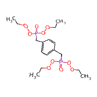 CCOOP(=O)(Cc1ccc(CP(=O)(OOCC)OOCC)cc1)OOCC